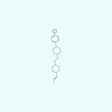 CC=CC1CCC(CCC2CCC(c3ccc(Cl)cc3)CC2)CC1